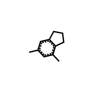 Cc1cc(C)c2c(c1)CCC2